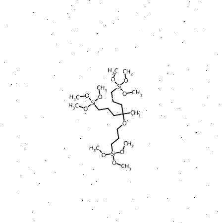 CO[Si](CCCOC(C)(CCC[Si](OC)(OC)OC)CCC[Si](OC)(OC)OC)(OC)OC